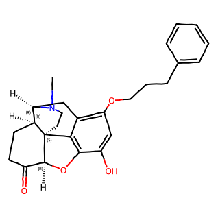 CN1CC[C@]23c4c5c(OCCCc6ccccc6)cc(O)c4O[C@H]2C(=O)CC[C@H]3[C@H]1C5